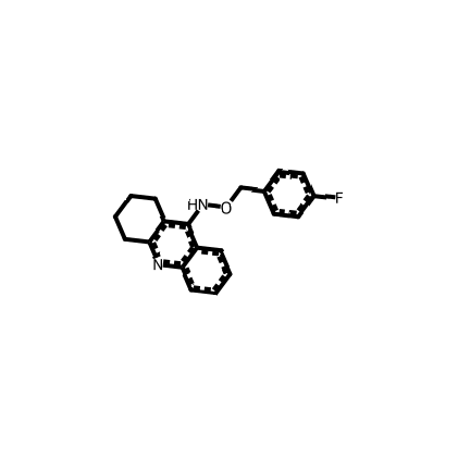 Fc1ccc(CONc2c3c(nc4ccccc24)CCCC3)cc1